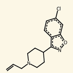 C=CCN1CCC(c2noc3cc(Cl)ccc23)CC1